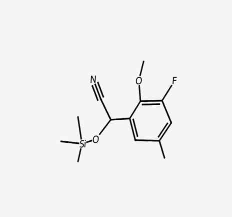 COc1c(F)cc(C)cc1C(C#N)O[Si](C)(C)C